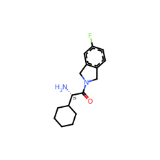 N[C@H](C(=O)N1Cc2ccc(F)cc2C1)C1CCCCC1